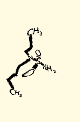 CCCCN(CCC)S(N)(=O)=O